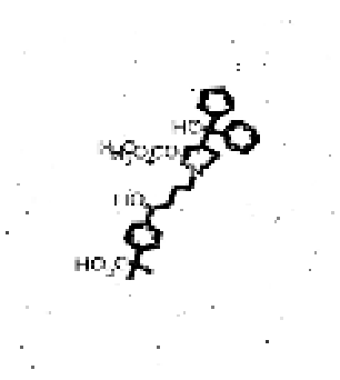 CC(=O)O.CC(C)(C(=O)O)c1ccc(C(O)CCCN2CCC(C(O)(c3ccccc3)c3ccccc3)CC2)cc1.O.O